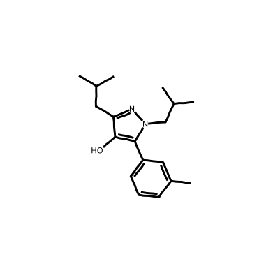 Cc1cccc(-c2c(O)c(CC(C)C)nn2CC(C)C)c1